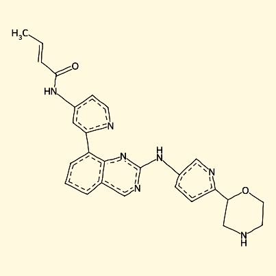 C/C=C/C(=O)Nc1ccnc(-c2cccc3cnc(Nc4ccc(C5CNCCO5)nc4)nc23)c1